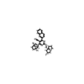 N#Cc1c(-c2ccc3ccccc3c2)nc(OC[C@@]23CCCN2C[C@H](F)C3)nc1N1C[C@H]2CC[C@@H](C1)N2